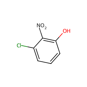 O=[N+]([O-])c1c(O)cccc1Cl